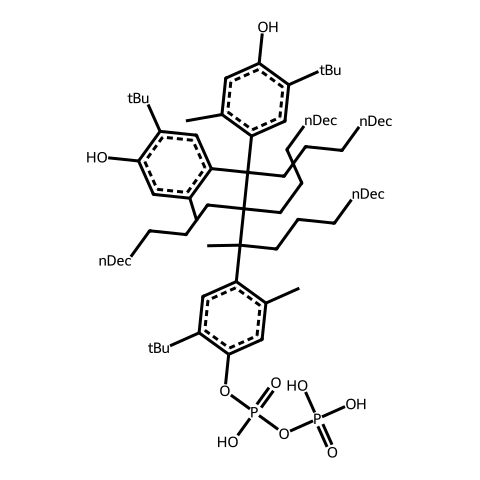 CCCCCCCCCCCCCC(C)(c1cc(C(C)(C)C)c(OP(=O)(O)OP(=O)(O)O)cc1C)C(CCCCCCCCCCCCC)(CCCCCCCCCCCCC)C(CCCCCCCCCCCCC)(c1cc(C(C)(C)C)c(O)cc1C)c1cc(C(C)(C)C)c(O)cc1C